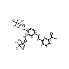 CC(=O)c1cccc(CCc2ccc(CO[Si](C)(C)C(C)(C)C)c(CO[Si](C)(C)C(C)(C)C)c2)c1